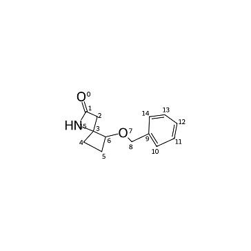 O=C1CC2(CCC2OCc2ccccc2)N1